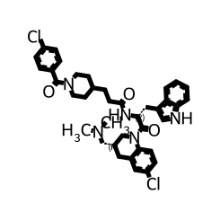 CN(C)C[C@H]1Cc2cc(Cl)ccc2N(C(=O)[C@@H](Cc2c[nH]c3ccccc23)NC(=O)CCC2CCN(C(=O)c3ccc(Cl)cc3)CC2)C1